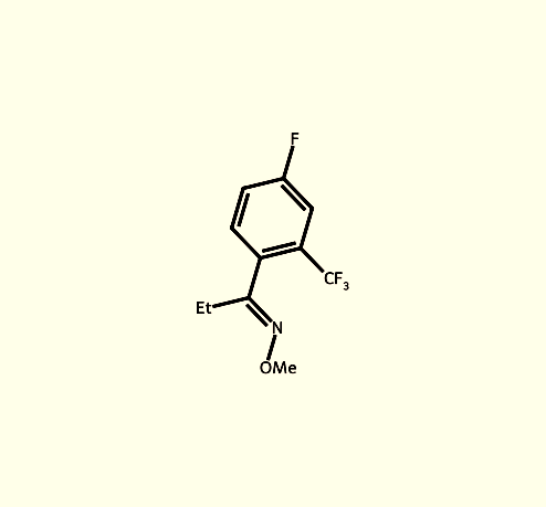 CCC(=NOC)c1ccc(F)cc1C(F)(F)F